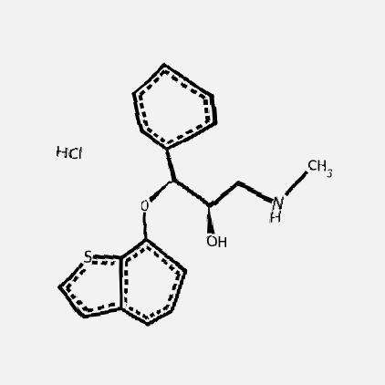 CNC[C@@H](O)[C@@H](Oc1cccc2ccsc12)c1ccccc1.Cl